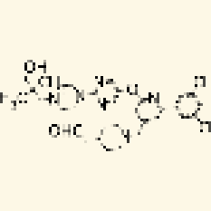 CC(C)(CO)CN1CCN(c2ncc(Oc3cc(CN4CCC(CC=O)CC4)cc(-c4cc(Cl)cc(Cl)c4)n3)cn2)CC1